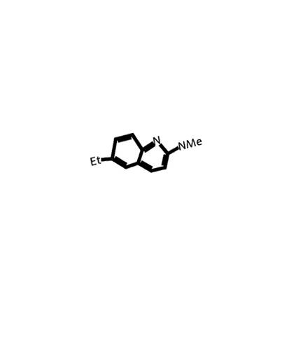 CCc1ccc2nc(NC)ccc2c1